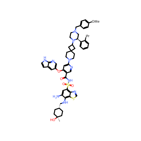 COc1ccc(CN2CCN(C3CC4(CCN(c5cc(Oc6cnc7[nH]ccc7c6)c(C(=O)NS(=O)(=O)c6cc(N)c(NC[C@H]7CC[C@](C)(O)CC7)c7scnc67)cn5)CC4)C3)[C@H](c3ccccc3C(C)C)C2)cc1